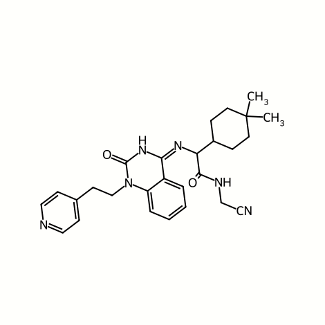 CC1(C)CCC(C(/N=c2/[nH]c(=O)n(CCc3ccncc3)c3ccccc23)C(=O)NCC#N)CC1